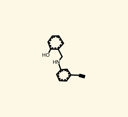 C#Cc1cccc(NCc2ccccc2O)c1